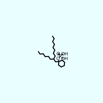 CCCCCCCCC(CCCCCC)CC1(OP(=O)(O)O)CCCCC1